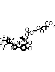 Cn1nc(C(F)(F)C(F)(F)F)c(C(F)(F)F)c1-n1cc(-c2ccc(Cl)c(C(=O)N(COC(=O)OCCOC(=O)CC(C)(C)C(=O)O)C3(C#N)CC3)c2)cn1